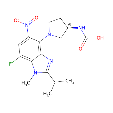 CC(C)c1nc2c(N3CC[C@@H](NC(=O)O)C3)c([N+](=O)[O-])cc(F)c2n1C